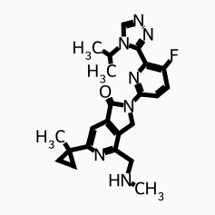 CNCc1nc(C2(C)CC2)cc2c1CN(c1ccc(F)c(-c3nncn3C(C)C)n1)C2=O